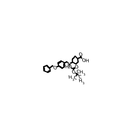 CC(C)(C)OC(=O)NN(Cc1ccc(OCc2ccccc2)cc1)C1CCC(C(=O)O)CC1